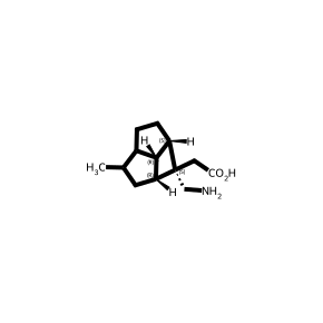 CC1C[C@@H]2[C@@H]3C1CC[C@@H]3[C@@]2(CN)CC(=O)O